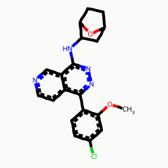 COc1cc(Cl)ccc1-c1nnc(NC2CC3CCC2O3)c2cnccc12